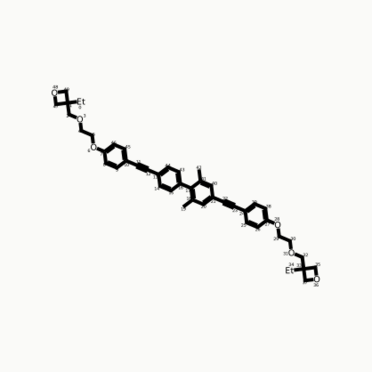 CCC1(COCCOc2ccc(C#Cc3ccc(-c4c(C)cc(C#Cc5ccc(OCCOCC6(CC)COC6)cc5)cc4C)cc3)cc2)COC1